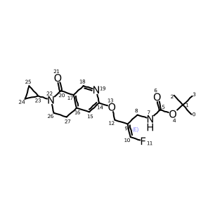 CC(C)(C)OC(=O)NC/C(=C\F)COc1cc2c(cn1)C(=O)N(C1CC1)CC2